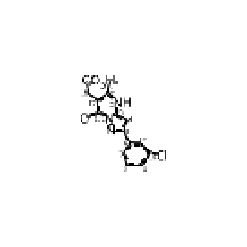 Cc1[nH]c2cc(-c3cccc(Cl)c3)nn2c(=O)c1CC(=O)O